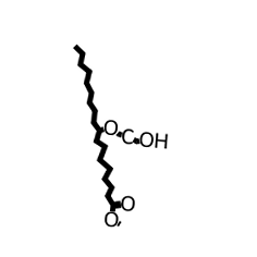 CCCCCCCCCC(CCCCCCCC(=O)OC)OCCCO